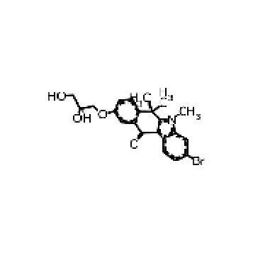 Cn1c2c(c3ccc(Br)cc31)C(=O)c1cc(OC[C@@H](O)CO)ccc1C2(C)C